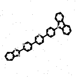 c1ccc2sc(-c3ccc(-c4ccc(-c5ccc(-n6c7ccccc7c7ccccc76)cc5)nc4)cn3)nc2c1